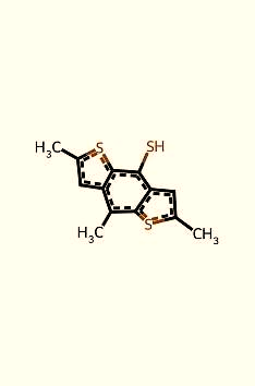 Cc1cc2c(S)c3sc(C)cc3c(C)c2s1